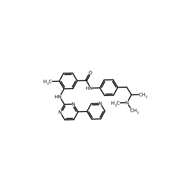 Cc1ccc(C(=O)Nc2ccc(CC(C)N(C)C)cc2)cc1Nc1nccc(-c2cccnc2)n1